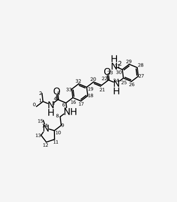 CC(C)NC(=O)C(NCCC1CCCN1C)c1ccc(/C=C/C(=O)Nc2ccccc2N)cc1